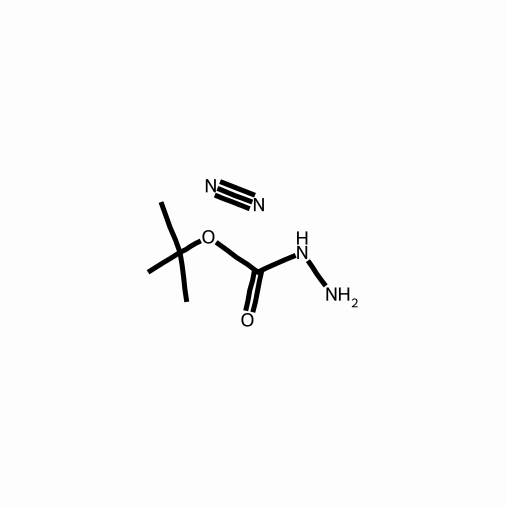 CC(C)(C)OC(=O)NN.N#N